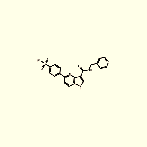 CC(C)S(=O)(=O)c1ccc(-c2cnc3[nH]cc(C(=O)NCc4ccncc4)c3n2)cc1